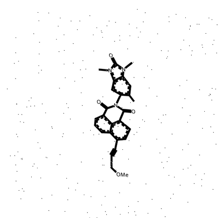 COCC#Cc1ccc2c3c(cccc13)C(=O)N(c1cc3c(cc1C)n(C)c(=O)n3C)C2=O